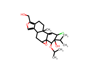 CC(C)OC1C23OC2CC2c4coc(CO)c4CCC2(C)C3=CC(Cl)C1(O)C(C)C